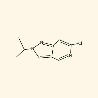 CC(C)n1cc2cnc(Cl)cc2n1